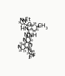 CCn1nccc1C(=O)NC(c1nc2nc(-c3cnccc3C(=O)N3CC(F)(F)C3)ccc2[nH]1)C1CCC(C)CC1